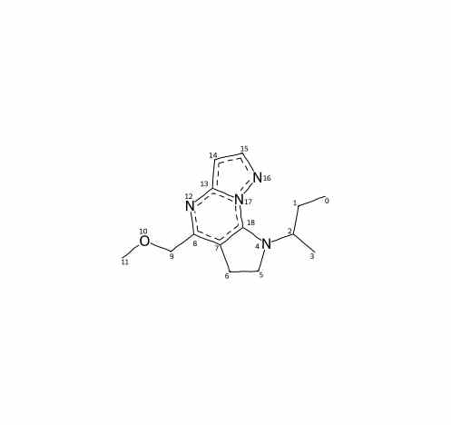 CCC(C)N1CCc2c(COC)nc3ccnn3c21